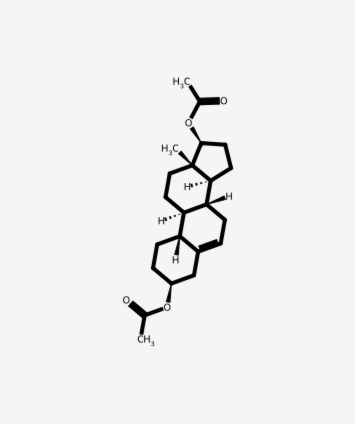 CC(=O)O[C@H]1CC[C@H]2C(=CC[C@@H]3[C@@H]2CC[C@]2(C)[C@@H](OC(C)=O)CC[C@@H]32)C1